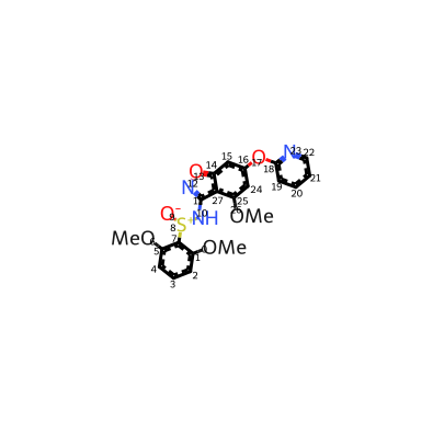 COc1cccc(OC)c1[S+]([O-])Nc1noc2cc(Oc3ccccn3)cc(OC)c12